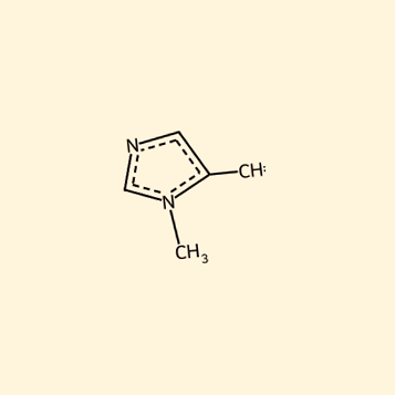 [CH]c1cncn1C